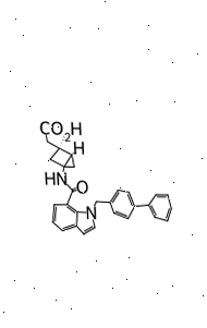 C[C@@]1(CC(=O)O)CC2(NC(=O)c3cccc4ccn(Cc5ccc(-c6ccccc6)cc5)c34)C[C@@H]21